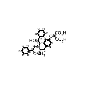 C[C@H](Cc1ccc(OC(C(=O)O)C(=O)O)cc1)N(C[C@H](O)c1ccccc1)C[C@H](O)c1ccccc1